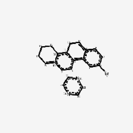 Brc1ccc2c(c1)=c1ccc3c(c1CC=2)CCCC=3.c1cnccn1